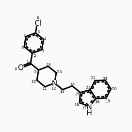 O=C(c1ccc(Cl)cc1)C1CCN(CCc2c[nH]c3ccccc23)CC1